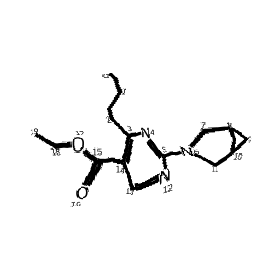 CCCc1nc(N2CC3CC3C2)ncc1C(=O)OCC